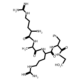 CC(C)CC(NC(=O)C(CCCNC(=N)N)NC(=O)C(C)NC(=O)C(N)CCCNC(=N)N)C(=O)NCC(=O)O